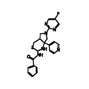 O=C(NC1NC2(c3ccncc3)CN(c3ncc(F)cn3)CC2CS1)c1ccccc1